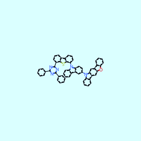 c1ccc(-c2nc(-c3ccccc3)nc(-c3cccc4c3sc3c(-n5c6ccccc6c6cc(-n7c8ccccc8c8cc9oc%10ccccc%10c9cc87)ccc65)cccc34)n2)cc1